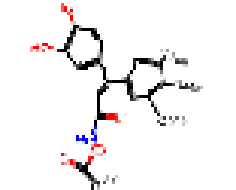 CCCC(=O)ONC(=O)/C=C(/c1ccc(O)c(O)c1)c1cc(OC)c(OC)c(OC)c1